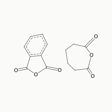 O=C1CCCCC(=O)O1.O=C1OC(=O)c2ccccc21